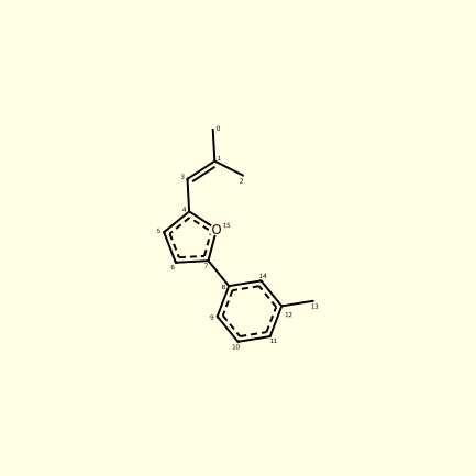 CC(C)=Cc1ccc(-c2cccc(C)c2)o1